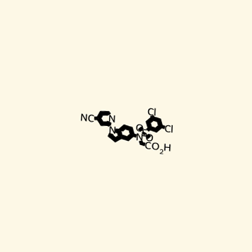 N#Cc1ccnc(-n2ccc3cc(N(CC(=O)O)S(=O)(=O)c4cc(Cl)cc(Cl)c4)ccc32)c1